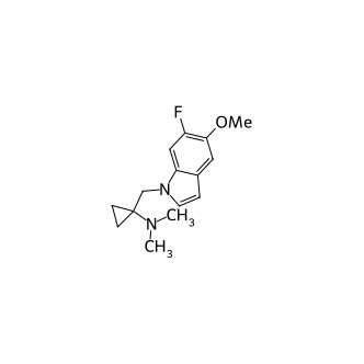 COc1cc2ccn(CC3(N(C)C)CC3)c2cc1F